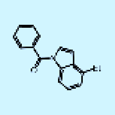 CCc1cccc2c1ccn2C(=O)c1ccccc1